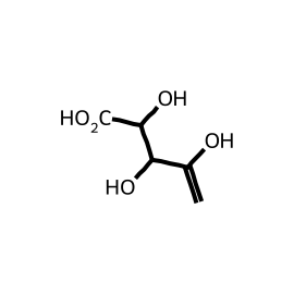 C=C(O)C(O)C(O)C(=O)O